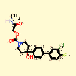 CNC(=O)COC(=O)N1CCC(O)(c2ccc(-c3ccc(F)c(Cl)c3)cc2)CC1